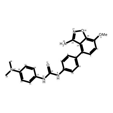 COc1ccc(-c2ccc(NC(=O)Nc3ccc(N(C)C)cc3)cc2)c2c(N)noc12